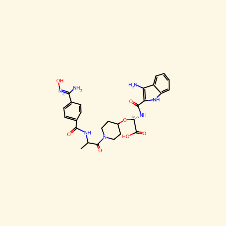 CC(NC(=O)c1ccc(/C(N)=N/O)cc1)C(=O)N1CCC(O[C@H](NC(=O)c2[nH]c3ccccc3c2N)C(=O)O)CC1